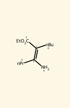 CCCCC(C(=O)OCC)=C(N)CCC